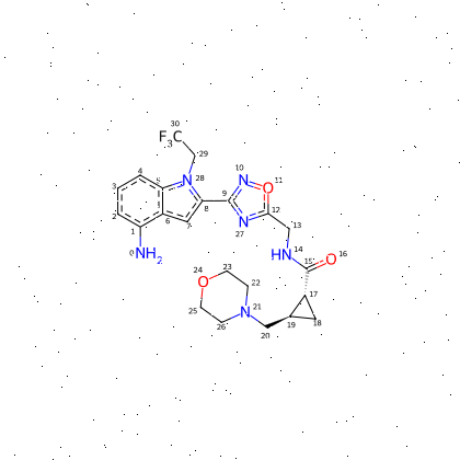 Nc1cccc2c1cc(-c1noc(CNC(=O)[C@@H]3C[C@H]3CN3CCOCC3)n1)n2CC(F)(F)F